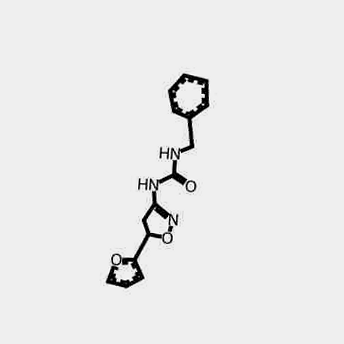 O=C(NCc1ccccc1)NC1=NOC(c2ccco2)C1